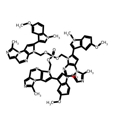 COc1ccc2c(c1)c(-c1cc3c(ncc4cnc(C)n43)n1COP(=O)(OCn1c(-c3cn(C)c4ccc(OC)cc34)cc3c1ncc1cnc(C)n13)OCn1c(-c3cn(C)c4ccc(OC)cc34)cc3c1ncc1cnc(C)n13)cn2C